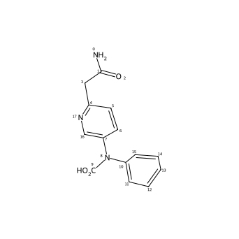 NC(=O)Cc1ccc(N(C(=O)O)c2ccccc2)cn1